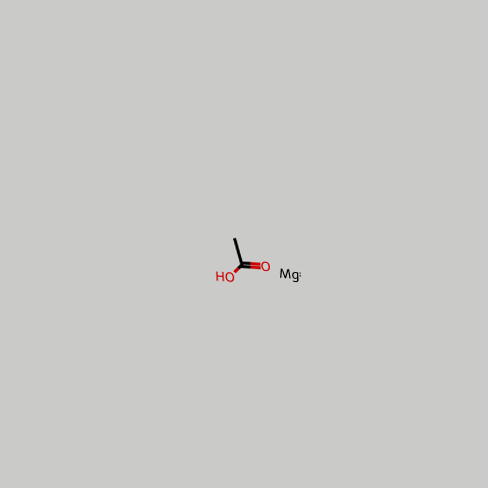 CC(=O)O.[Mg]